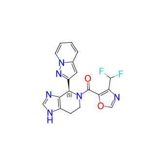 O=C(c1ocnc1C(F)F)N1CCc2[nH]cnc2[C@H]1c1cc2ccccn2n1